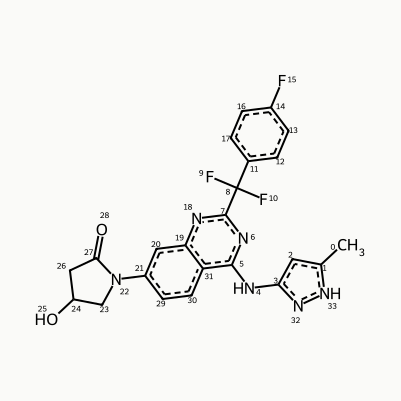 Cc1cc(Nc2nc(C(F)(F)c3ccc(F)cc3)nc3cc(N4CC(O)CC4=O)ccc23)n[nH]1